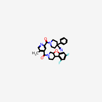 Cc1cnc(C(=O)N2CCC(C#N)(c3ccccc3)CC2)cc1C(=O)N1CCC2c3c(F)cc(F)cc3OC2C1